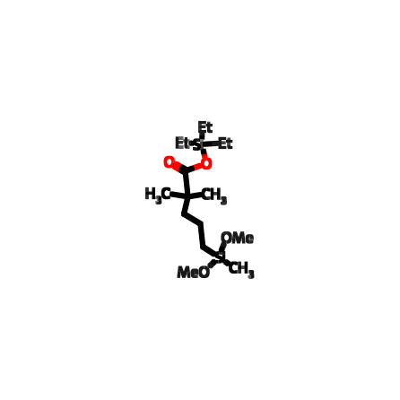 CC[Si](CC)(CC)OC(=O)C(C)(C)CCC[Si](C)(OC)OC